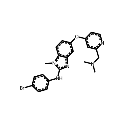 CN(C)Cc1cc(Oc2ccc3c(c2)nc(Nc2ccc(Br)cc2)n3C)ccn1